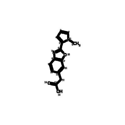 Cn1cccc1-c1nc2ccc(CC(=O)O)cc2o1